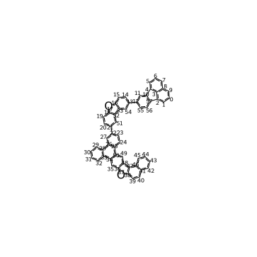 c1cc2c3c(cccc3c1)-c1cc(-c3ccc4oc5ccc(-c6ccc7c(c6)c6ccccc6c6cc8oc9ccc%10ccccc%10c9c8cc76)cc5c4c3)ccc1-2